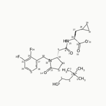 C[N+](C)(C)CCO.O=C(C[C@@H]1CCC(=O)N1Cc1cccc(F)c1F)N[C@@H](CC1CC1)C(=O)[O-]